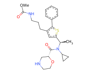 COC(=O)NCCCc1cc([C@@H](C)N(C(=O)[C@H]2CNCCO2)C2CC2)sc1-c1ccccc1